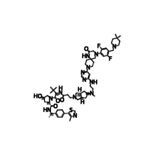 Cc1ncsc1-c1ccc([C@H](C)NC(=O)[C@@H]2C[C@@H](O)CN2C(=O)[C@@H](NC(=O)CCN2C[C@H]3C[C@@H](N(C)CCNc4cc(N5CCC6(CC5)CN(c5cc(F)c(CN7CCC(C)(C)CC7)cc5F)CC(=O)N6)ncn4)C[C@H]3C2)C(C)(C)C)cc1